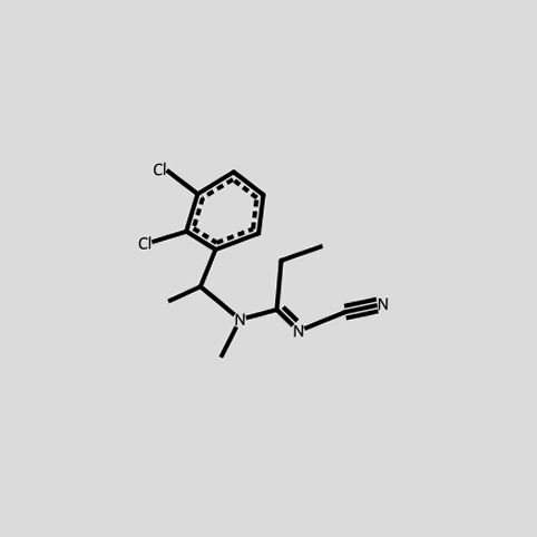 CC/C(=N\C#N)N(C)C(C)c1cccc(Cl)c1Cl